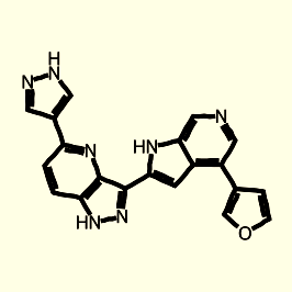 c1cc(-c2cncc3[nH]c(-c4n[nH]c5ccc(-c6cn[nH]c6)nc45)cc23)co1